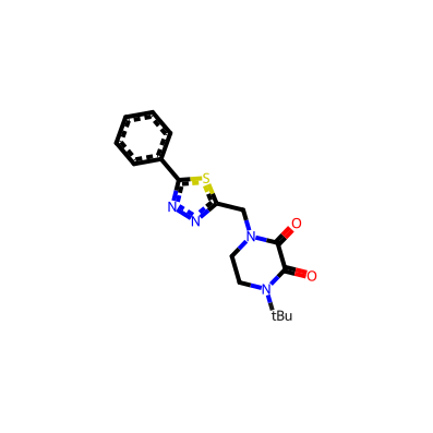 CC(C)(C)N1CCN(Cc2nnc(-c3ccccc3)s2)C(=O)C1=O